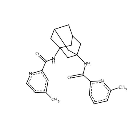 Cc1ccnc(C(=O)NC23CC4CC(C2)CC(NC(=O)c2cccc(C)n2)(C4)C3)c1